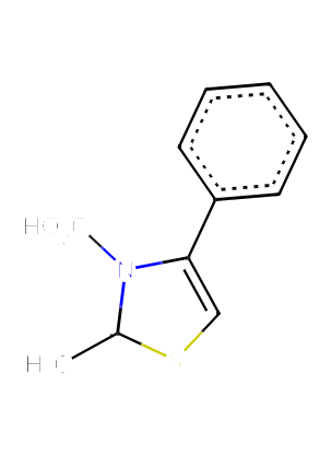 C[C]1SC=C(c2ccccc2)N1C(=O)O